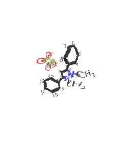 Cn1c(-c2ccccc2)cc(-c2ccccc2)[n+]1C.[O-][Cl+3]([O-])([O-])[O-]